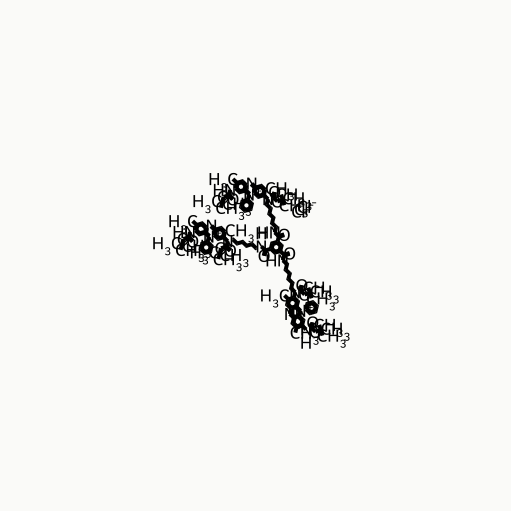 Cc1cc2nc3cc(C)c(N(CCCCCCNC(=O)c4cc(C(=O)NCCCCCCN(C(=O)OC(C)(C)C)c5cc6c(cc5C)nc5cc(C)c(NC(=O)OC(C)(C)C)cc5[n+]6-c5ccccc5)cc(C(=O)NCCCCCCN(C(=O)OC(C)(C)C)c5cc6c(cc5C)nc5cc(C)c(NC(=O)OC(C)(C)C)cc5[n+]6-c5ccccc5)c4)C(=O)OC(C)(C)C)cc3[n+](-c3ccccc3)c2cc1NC(=O)OC(C)(C)C.[Cl-].[Cl-].[Cl-]